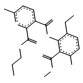 CCCNC(=O)c1nc(C)ccc1C(=O)Nc1c(CC)ccc(Br)c1C(=O)OC